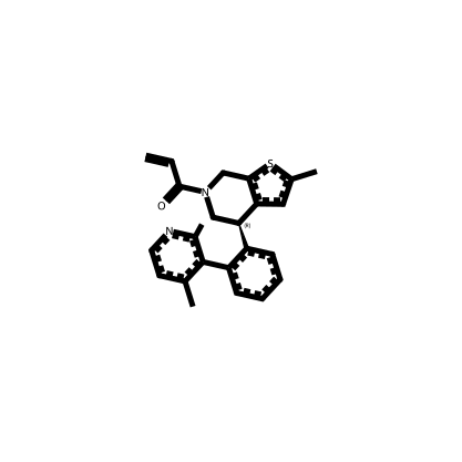 C=CC(=O)N1Cc2sc(C)cc2[C@@H](c2ccccc2-c2c(C)ccnc2C)C1